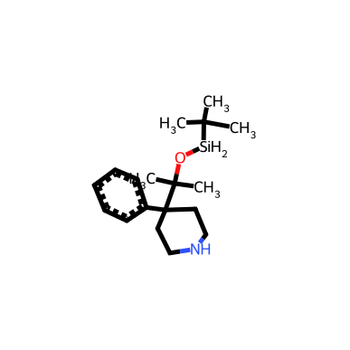 CC(C)(C)[SiH2]OC(C)(C)C1(c2ccccc2)CCNCC1